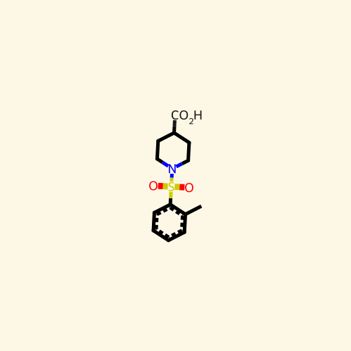 Cc1ccccc1S(=O)(=O)N1CCC(C(=O)O)CC1